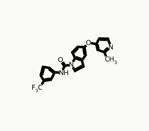 Cc1cc(Oc2ccc3c(ccn3C(=O)Nc3cccc(C(F)(F)F)c3)c2)ccn1